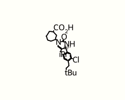 CC(C)C1=CN(C2CCCCC(C(=O)O)C2)C(=O)N[C@@]1(C)c1ccc(CCC(C)(C)C)c(Cl)c1